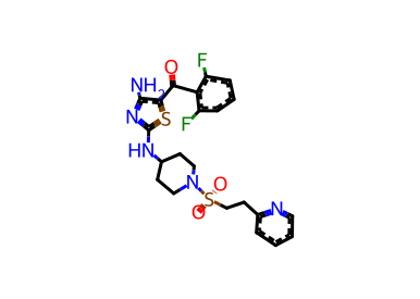 Nc1nc(NC2CCN(S(=O)(=O)CCc3ccccn3)CC2)sc1C(=O)c1c(F)cccc1F